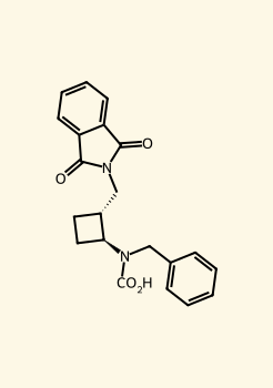 O=C1c2ccccc2C(=O)N1C[C@H]1CC[C@@H]1N(Cc1ccccc1)C(=O)O